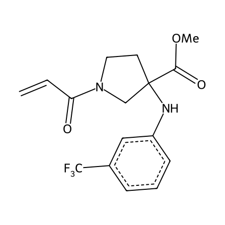 C=CC(=O)N1CCC(Nc2cccc(C(F)(F)F)c2)(C(=O)OC)C1